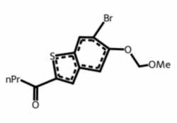 CCCC(=O)c1cc2cc(OCOC)c(Br)cc2s1